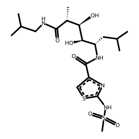 CC(C)CNC(=O)[C@H](C)[C@@H](O)[C@H](O)[C@H](CC(C)C)NC(=O)c1csc(NS(C)(=O)=O)n1